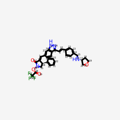 O=C1/C(=C/c2ccc3c(/C=C/c4ccc(CN[C@@H]5CCOC5)cc4)n[nH]c3c2)[C@@H](c2ccccc2)CN1OC(=O)C(F)(F)F